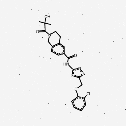 CC(C)(O)C(=O)N1CCc2cc(C(=O)Nc3nnc(COc4ccccc4Cl)s3)ccc2C1